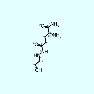 NC(=O)[C@@H](N)CCC(=O)NNCCO